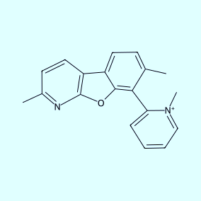 Cc1ccc2c(n1)oc1c(-c3cccc[n+]3C)c(C)ccc12